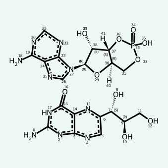 Nc1nc2ncc([C@H](O)[C@H](O)CO)nc2c(=O)[nH]1.Nc1ncnc2c1ncn2[C@@H]1O[C@@H]2COP(=O)(O)O[C@H]2[C@H]1O